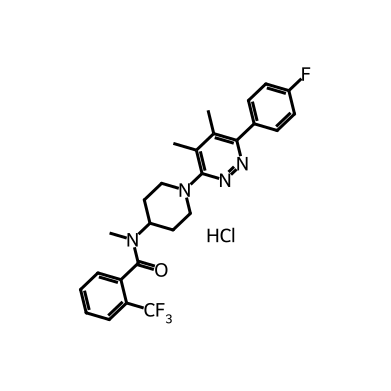 Cc1c(-c2ccc(F)cc2)nnc(N2CCC(N(C)C(=O)c3ccccc3C(F)(F)F)CC2)c1C.Cl